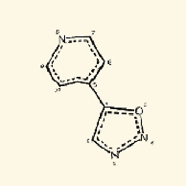 [c]1nnoc1-c1ccncc1